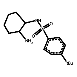 CC(C)(C)c1ccc(S(=O)(=O)NC2CCCCC2N)cc1